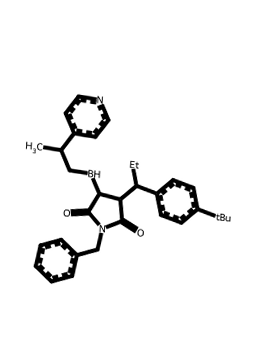 CCC(c1ccc(C(C)(C)C)cc1)C1C(=O)N(Cc2ccccc2)C(=O)C1BCC(C)c1ccncc1